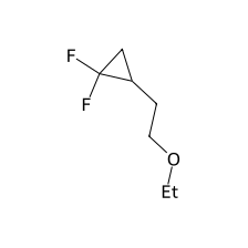 CCOCCC1CC1(F)F